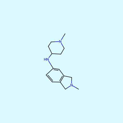 CN1CCC(Nc2ccc3c(c2)CN(C)C3)CC1